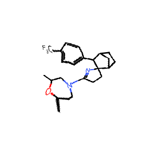 CC1CN(C2=NC3(CC2)C2CCC(C2)C3c2ccc(C(F)(F)F)cc2)CC(C)O1